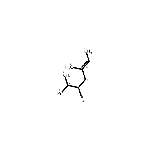 C/C=C(\C)CC(CC)C(C)C(C)C